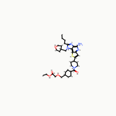 CCCCc1nc2c(N)nc3cc(C4CCN(C(=O)C5CCC(COCC(=O)OCC)CC5)CC4)sc3c2n1CC1CCOCC1